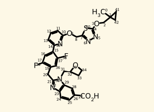 CC1(COc2nnc(COc3cccc(-c4cc(F)c(Cc5nc6ccc(C(=O)O)cc6n5C[C@@H]5CCO5)cc4F)n3)s2)CC1